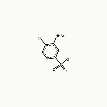 CC(=O)Nc1cc(S(=O)(=O)Cl)ccc1Cl